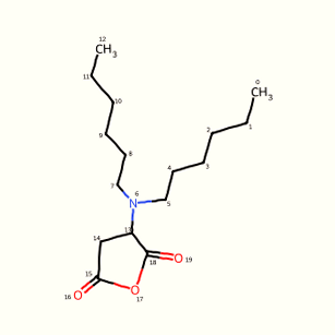 CCCCCCN(CCCCCC)C1CC(=O)OC1=O